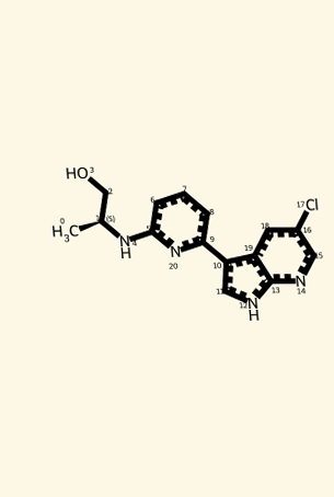 C[C@@H](CO)Nc1cccc(-c2c[nH]c3ncc(Cl)cc23)n1